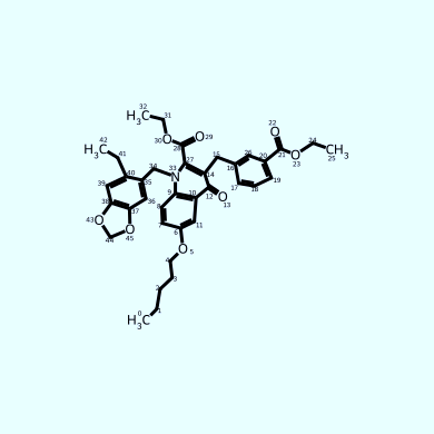 CCCCCOc1ccc2c(c1)c(=O)c(Cc1cccc(C(=O)OCC)c1)c(C(=O)OCC)n2Cc1cc2c(cc1CC)OCO2